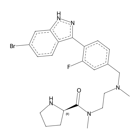 CN(CCN(C)C(=O)[C@H]1CCCN1)Cc1ccc(-c2n[nH]c3cc(Br)ccc23)c(F)c1